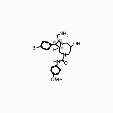 COc1ccc(NC(=O)N2CCC(O)CN3[C@H](CN)[C@H](c4ccc(Br)cc4)[C@@H]3C2)cc1